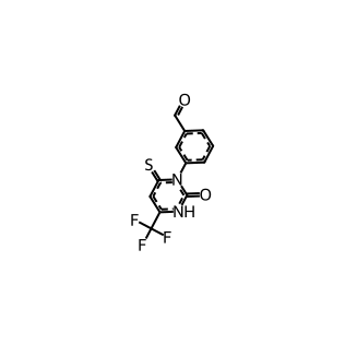 O=Cc1cccc(-n2c(=S)cc(C(F)(F)F)[nH]c2=O)c1